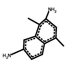 Cc1cc(N)c(C)c2cc(N)ccc12